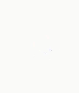 CNC(CC(C)(NC)C(=O)c1ccc(C)cc1)C(=O)c1ccccc1F